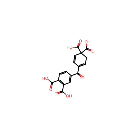 O=C(C1=CCC(C(=O)O)(C(=O)O)C=C1)c1ccc(C(=O)O)c(C(=O)O)c1